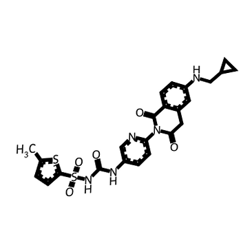 Cc1ccc(S(=O)(=O)NC(=O)Nc2ccc(N3C(=O)Cc4cc(NCC5CC5)ccc4C3=O)nc2)s1